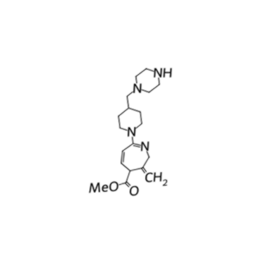 C=C1CN=C(N2CCC(CN3CCNCC3)CC2)C=CC1C(=O)OC